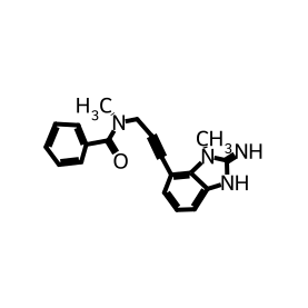 CN(CC#Cc1cccc2[nH]c(=N)n(C)c12)C(=O)c1ccccc1